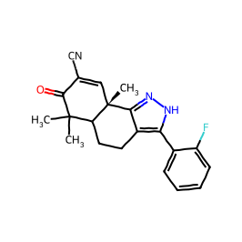 CC1(C)C(=O)C(C#N)=C[C@]2(C)c3n[nH]c(-c4ccccc4F)c3CCC12